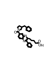 O=C(O)CCCCc1nc2cc(C(=O)N3CCC(Cc4ccccc4)C3)ccc2nc1-c1ccccc1